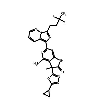 CC1(c2nnc(C3CC3)o2)C(=O)Nc2nc(-c3nc(CCC(F)(F)C(F)(F)F)n4ncccc34)nc(N)c21